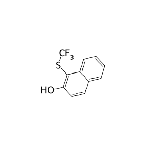 Oc1ccc2ccccc2c1SC(F)(F)F